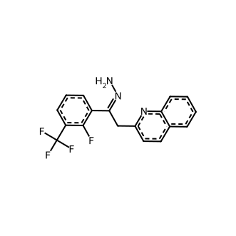 NN=C(Cc1ccc2ccccc2n1)c1cccc(C(F)(F)F)c1F